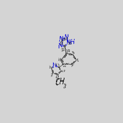 Cc1ccnc(-c2cccc(-c3nnn[nH]3)c2)c1